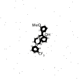 COc1cccc(C(CN2CCN(c3cccc(C(F)(F)F)c3)CC2)C2(O)CCCC2)c1